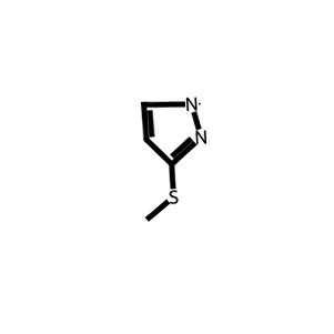 CSC1=N[N]C=C1